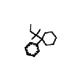 CCC(C)(C)C1(c2cc[c]cc2)CCCCC1